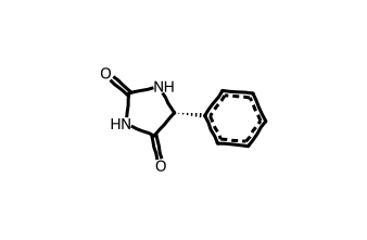 O=C1NC(=O)[C@@H](c2ccccc2)N1